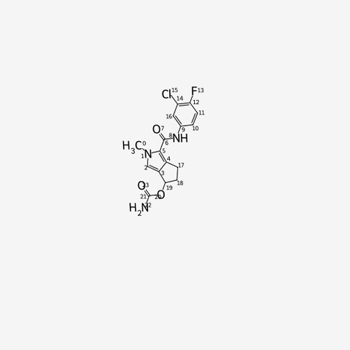 Cn1cc2c(c1C(=O)Nc1ccc(F)c(Cl)c1)CCC2OC(N)=O